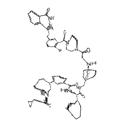 O=C(N[C@@H](C(=O)NCC12CCC(NCC(=O)N3CCN(C(=O)c4cc(Cc5n[nH]c(=O)c6ccccc56)ccc4F)CC3)(CC1)CO2)C1CCCCC1)c1cccc(C2CCCN(C(=O)C3CC3)C2)c1